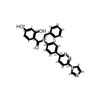 O=C(c1ccc(O)cc1O)N(Cc1ccccc1)c1ccc(-c2ccc(-n3ccnc3)nn2)cc1